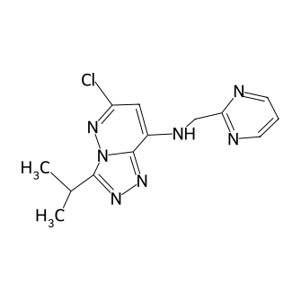 CC(C)c1nnc2c(NCc3ncccn3)cc(Cl)nn12